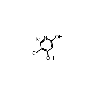 Oc1cc(O)c(Cl)cn1.[K]